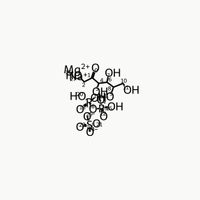 O=C(CO)C(O)C(O)C(O)CO.O=P([O-])(O)OP(=O)(O)O.O=S(=O)([O-])[O-].[Mg+2].[Na+]